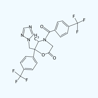 CC1N(C(=O)c2ccc(C(F)(F)F)cc2)CC(=O)OC1(Cn1cncn1)c1ccc(C(F)(F)F)cc1